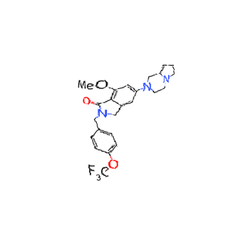 COc1cc(N2CCN3CCC=C3C2)cc2c1C(=O)N(Cc1ccc(OC(F)(F)F)cc1)C2